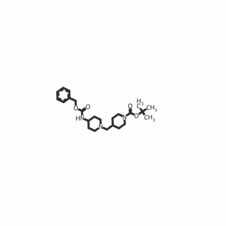 CC(C)(C)OC(=O)N1CCC(CN2CCC(NC(=O)OCc3ccccc3)CC2)CC1